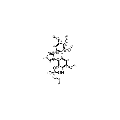 CCOP(=O)(O)Oc1cc(OC)ccc1-c1csnc1-c1cc(OC)c(OC)c(OC)c1